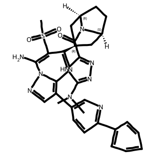 CN(C)c1nnc(C(=O)N2[C@@H]3CC[C@H]2C[C@@H](c2nc4c(-c5ccc(-c6ccccc6)nc5)cnn4c(N)c2S(C)(=O)=O)C3)[nH]1